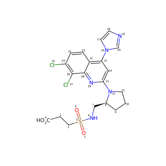 O=C(O)CCS(=O)(=O)NC[C@@H]1CCCN1c1cc(-n2ccnc2)c2ccc(Cl)c(Cl)c2n1